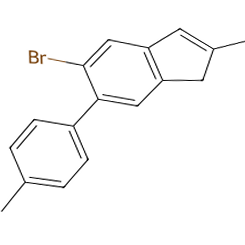 CC1=Cc2cc(Br)c(-c3ccc(C)cc3)cc2C1